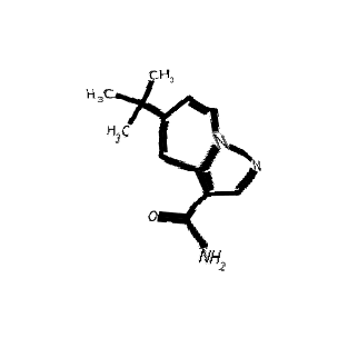 CC(C)(C)c1ccn2ncc(C(N)=O)c2c1